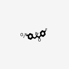 O=C(c1ccc(F)cc1)C(Br)Cc1ccc([N+](=O)[O-])cc1